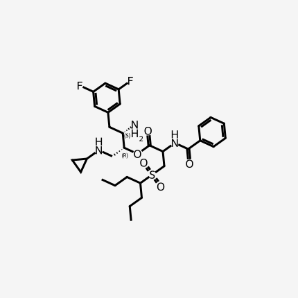 CCCC(CCC)S(=O)(=O)CC(NC(=O)c1ccccc1)C(=O)O[C@H](CNC1CC1)[C@@H](N)Cc1cc(F)cc(F)c1